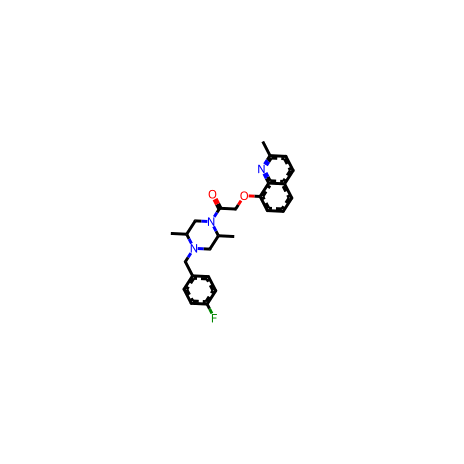 Cc1ccc2cccc(OCC(=O)N3CC(C)N(Cc4ccc(F)cc4)CC3C)c2n1